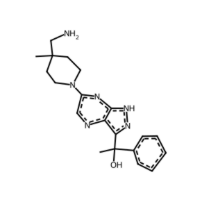 CC1(CN)CCN(c2cnc3c(C(C)(O)c4ccccc4)n[nH]c3n2)CC1